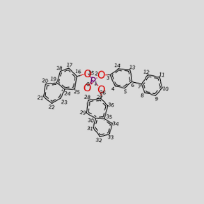 O=P(Oc1ccc(-c2ccccc2)cc1)(Oc1ccc2ccccc2c1)Oc1ccc2ccccc2c1